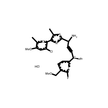 CCC[C@H](C#CC(N)c1nc(-c2cc(C)c(OC)cc2Cl)c(C)s1)c1ccc(COC)c(F)c1.Cl